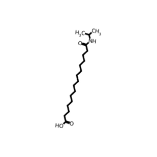 CC(C)NC(=O)CCCCCCCCCCCCCCC(=O)O